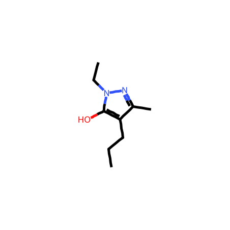 CCCc1c(C)nn(CC)c1O